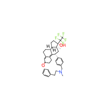 CN(CCc1ccccc1)Cc1ccc([C@H]2C[C@@]3(C)[C@@H](CC[C@@]3(O)C(F)(F)C(F)(F)F)[C@@H]3CCC4=CC(=O)CCC4=C32)cc1